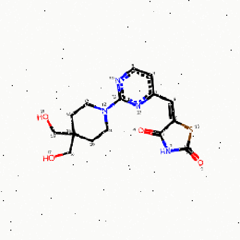 O=C1NC(=O)/C(=C\c2ccnc(N3CCC(CO)(CO)CC3)n2)S1